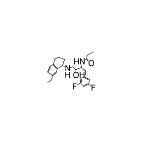 CCC(=O)N[C@@H](Cc1cc(F)cc(F)c1)[C@H](O)CN[C@H]1CCCc2ccc(CC)cc21